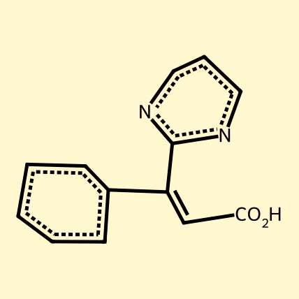 O=C(O)C=C(c1ccccc1)c1ncccn1